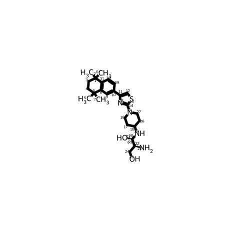 CC1(C)CCC(C)(C)c2cc(-c3csc(N4CCC(N[C@H](O)[C@@H](N)CO)CC4)n3)ccc21